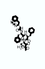 CC(C)C[C@H](NC(=O)[C@H](CC1=CCCC=C1)NC(=O)[C@H](Cc1ccccc1)NC(=O)C[C@@H](Cc1ccccc1)N=[N+]=[N-])C(=O)[C@@]1(C)CO1